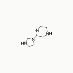 C1CNCC(N2CCNC2)[N]1